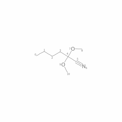 CCCCC(C#N)(OC)OC